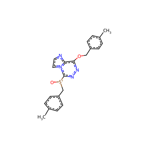 Cc1ccc(COc2nnc([S+]([O-])Cc3ccc(C)cc3)n3ccnc23)cc1